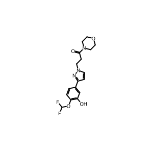 O=C(CCn1ccc(-c2ccc(OC(F)F)c(O)c2)n1)N1CCOCC1